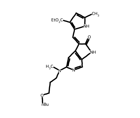 CCCCOCCCN(C)c1cc2c(cn1)NC(=O)/C2=C\c1[nH]c(C)cc1C(=O)OCC